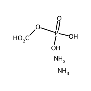 N.N.O=C(O)OP(=O)(O)O